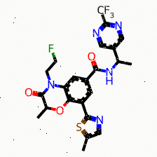 Cc1cnc(-c2cc(C(=O)NC(C)c3cnc(C(F)(F)F)nc3)cc3c2OC(C)C(=O)N3CCF)s1